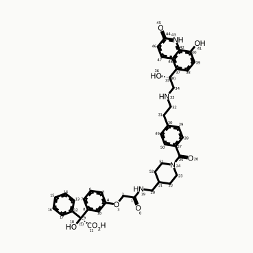 O=C(COc1cccc([C@](O)(C(=O)O)c2ccccc2)c1)NCC1CCN(C(=O)c2ccc(CCNC[C@H](O)c3ccc(O)c4[nH]c(=O)ccc34)cc2)CC1